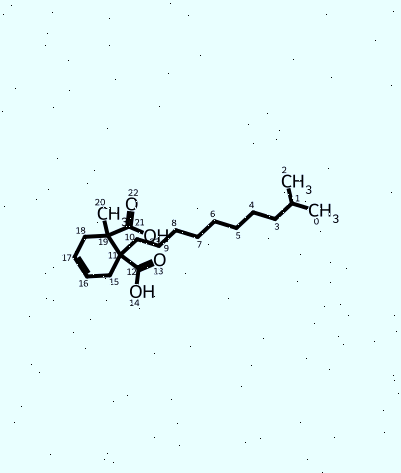 CC(C)CCCCCCCCC1(C(=O)O)CC=CCC1(C)C(=O)O